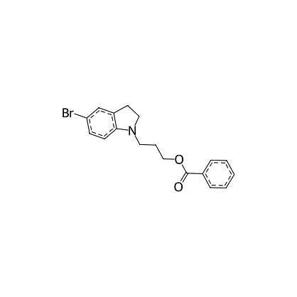 O=C(OCCCN1CCc2cc(Br)ccc21)c1ccccc1